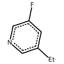 C[CH]c1cncc(F)c1